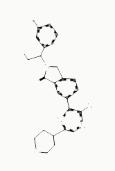 Nc1ncc(C2CCOCC2)nc1-c1ccc2c(c1)C(=O)N(C(CO)c1cccc(Cl)c1)C2